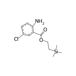 C[Si](C)(C)CCOC(=O)c1cc(Cl)ccc1N